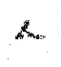 CN(C)c1ccc(/C=C/C2=[N+](CCCCCC(=O)NCCc3ccc(O)cc3)c3ccc(S(=O)(=O)[O-])cc3C2(C)C)c2nsnc12